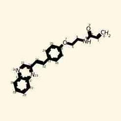 C=CC(=O)NCCOc1ccc(C=Cc2cnc3ccccc3n2)cc1